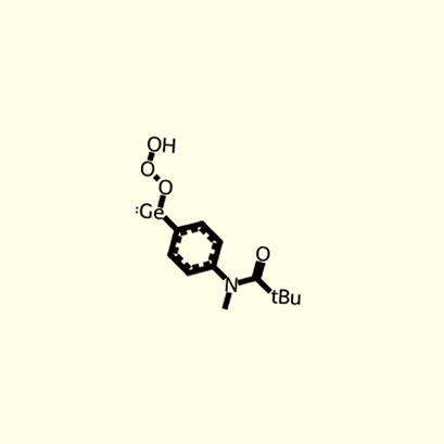 CN(C(=O)C(C)(C)C)c1cc[c]([Ge][O]OO)cc1